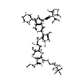 CCOc1nn(CCO[Si](C)(C)C(C)(C)C)c(CN(C[C@H](C)Oc2c(-c3cc4c(C#C[Si](C(C)C)(C(C)C)C(C)C)nn(C5CCCCO5)c4cn3)c(C)nn2C)C(C)C)c1I